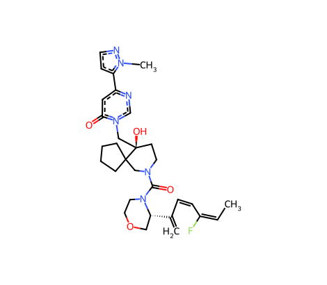 C=C(/C=C\C(F)=C/C)[C@@H]1COCCN1C(=O)N1CC[C@@](O)(Cn2cnc(-c3ccnn3C)cc2=O)C2(CCCC2)C1